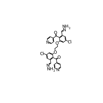 NN=Cc1cc(Cl)cc(OCCOc2cc(Cl)cc(C=NN)c2C(=O)c2ccncc2)c1C(=O)c1ccncc1